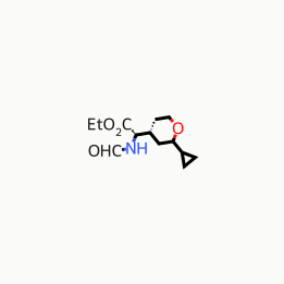 CCOC(=O)[C@@H](NC=O)[C@@H]1CCOC(C2CC2)C1